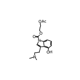 CC(=O)OCCOC(=O)n1cc(CCN(C)C)c2c(O)cccc21